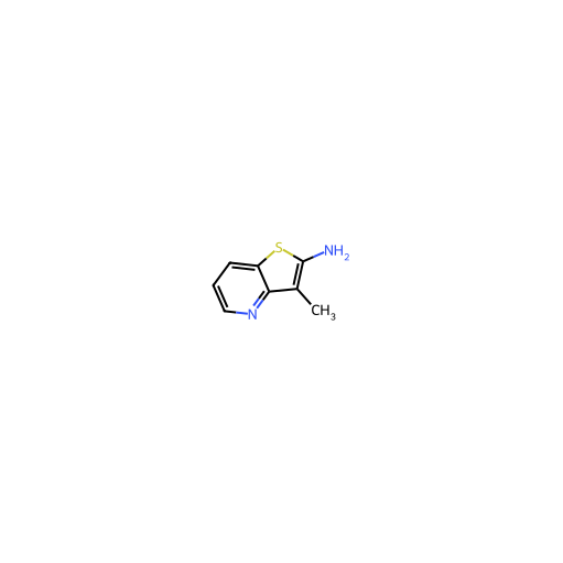 Cc1c(N)sc2cccnc12